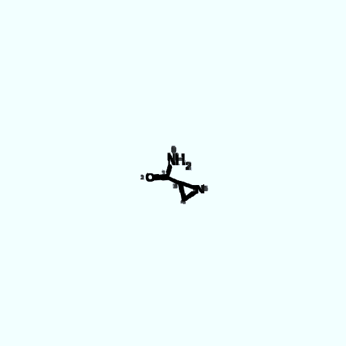 NC(=O)C1C[N]1